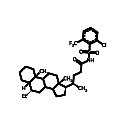 CC[C@H]1CC2C3CC[C@H]([C@H](C)CCC(=O)NS(=O)(=O)c4c(Cl)cccc4C(F)(F)F)[C@@]3(C)CCC2[C@@]2(C)CCCC[C@@H]12